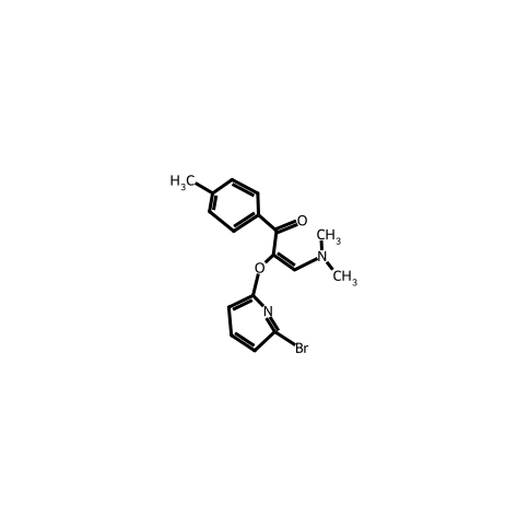 Cc1ccc(C(=O)/C(=C\N(C)C)Oc2cccc(Br)n2)cc1